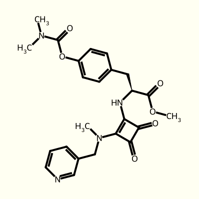 COC(=O)[C@H](Cc1ccc(OC(=O)N(C)C)cc1)Nc1c(N(C)Cc2cccnc2)c(=O)c1=O